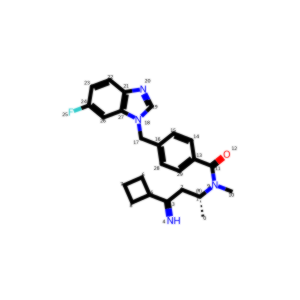 C[C@H](CC(=N)C1CCC1)N(C)C(=O)c1ccc(Cn2cnc3ccc(F)cc32)cc1